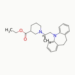 CCOC(=O)C1CCCN([C@H](C)CN2c3ccccc3CCc3ccccc32)C1